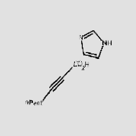 CCCCCC#CC(=O)O.c1c[nH]cn1